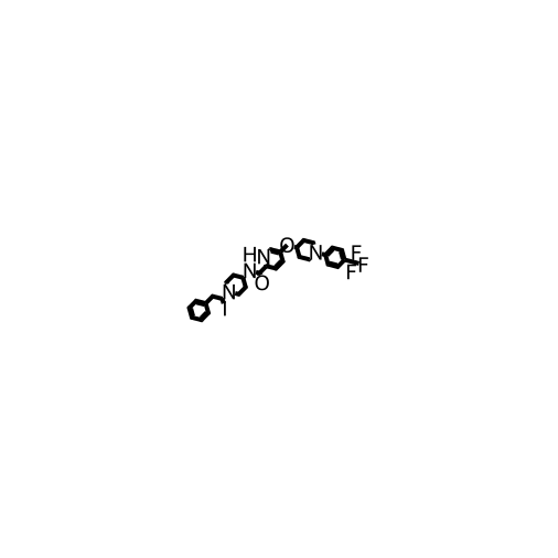 O=C(NC1CCN(C(I)Cc2ccccc2)CC1)c1ccc(OC2CCN(c3ccc(C(F)(F)F)cc3)CC2)cn1